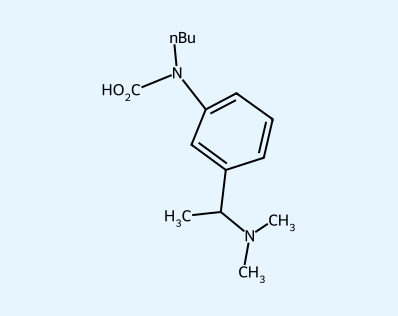 CCCCN(C(=O)O)c1cccc(C(C)N(C)C)c1